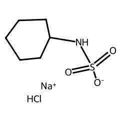 Cl.O=S(=O)([O-])NC1CCCCC1.[Na+]